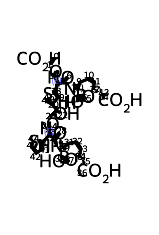 O=C(O)CO/N=C(\C(=O)N[C@H]1CC=C[C@H](CC(=O)O)OB1O)c1cc(C(O)CO/N=C(\C(=O)N[C@H]2CC=C[C@H](CC(=O)O)OB2O)c2cccs2)cs1